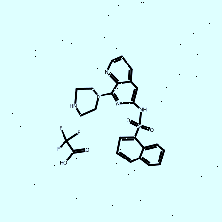 O=C(O)C(F)(F)F.O=S(=O)(Nc1cc2cccnc2c(N2CCNCC2)n1)c1cccc2ccccc12